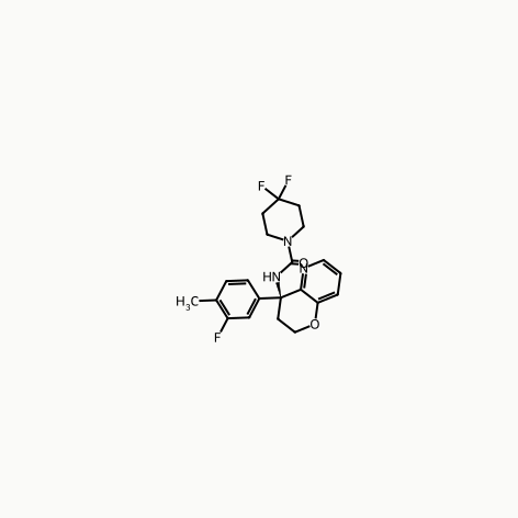 Cc1ccc([C@@]2(NC(=O)N3CCC(F)(F)CC3)CCOc3cccnc32)cc1F